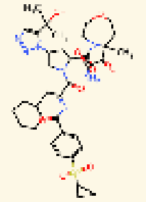 CC(C)(O)c1cnnn1[C@H]1C[C@@H](C(=O)N2CCOCCC2(C)C(=O)C(N)=O)N(C(=O)/C(CC2CCCCC2)=N/C(=O)c2ccc(S(=O)(=O)C3CC3)cc2)C1